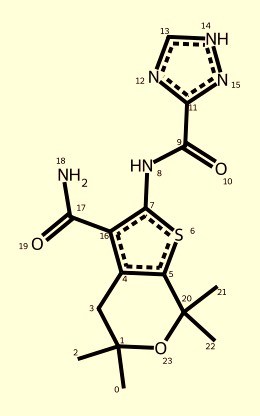 CC1(C)Cc2c(sc(NC(=O)c3nc[nH]n3)c2C(N)=O)C(C)(C)O1